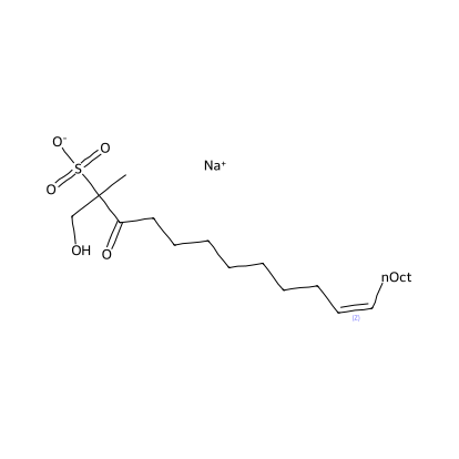 CCCCCCCC/C=C\CCCCCCCC(=O)C(C)(CO)S(=O)(=O)[O-].[Na+]